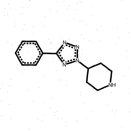 c1ccc(-c2nnn(C3CCNCC3)n2)cc1